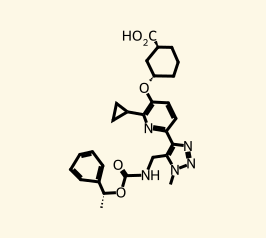 C[C@@H](OC(=O)NCc1c(-c2ccc(O[C@H]3CCC[C@H](C(=O)O)C3)c(C3CC3)n2)nnn1C)c1ccccc1